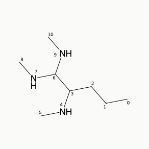 CCCC(NC)C(NC)NC